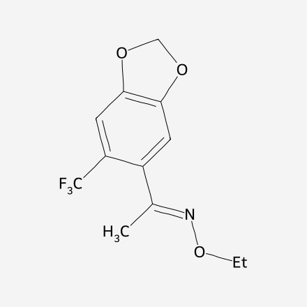 CCO/N=C(\C)c1cc2c(cc1C(F)(F)F)OCO2